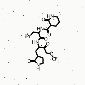 CC(C)CC(NC(=O)C1CCCNC1=O)C(=O)NC(CC1CCNC1=O)C(=O)COC(F)(F)F